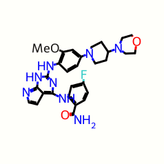 COc1cc(N2CCC(N3CCOCC3)CC2)ccc1Nc1nc(Nc2cc(F)ccc2C(N)=O)c2ccnc-2[nH]1